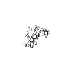 CC1CC1n1cc(C(=O)O)c(=O)c2cc(F)c(N3CCC[C@@H]3COc3ccccn3)cc21